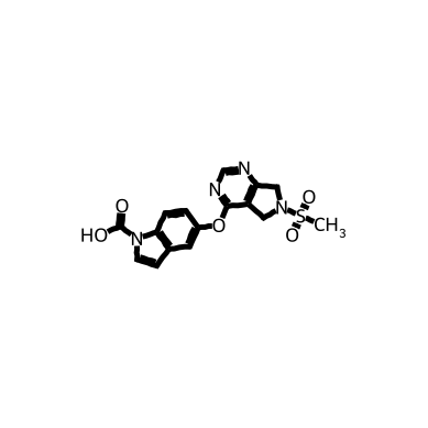 CS(=O)(=O)N1Cc2ncnc(Oc3ccc4c(ccn4C(=O)O)c3)c2C1